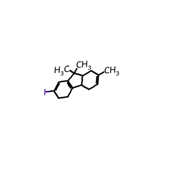 CC1=CCC2C3=C(C=C(I)CC3)C(C)(C)C2C1